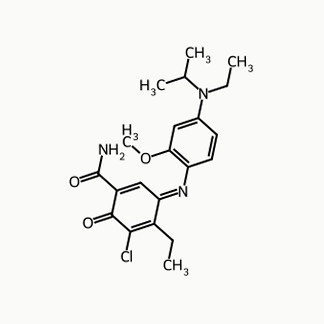 CCC1=C(Cl)C(=O)C(C(N)=O)=CC1=Nc1ccc(N(CC)C(C)C)cc1OC